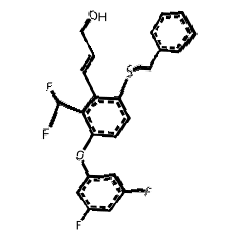 OCC=Cc1c(SCc2ccccc2)ccc(Oc2cc(F)cc(F)c2)c1C(F)F